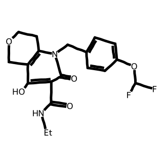 CCNC(=O)c1c(O)c2c(n(Cc3ccc(OC(F)F)cc3)c1=O)CCOC2